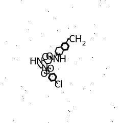 C=Cc1ccc2c(c1)CC[C@@H](NC(=O)CC1C(=O)NCCN1S(=O)(=O)c1ccc(Cl)cc1)C2